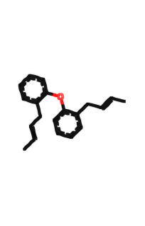 CC=CCc1ccccc1Oc1ccccc1CC=CC